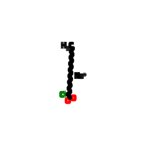 CCCCCCCCCCCCCCCCC(Cl)C(=O)[O-].[Na+]